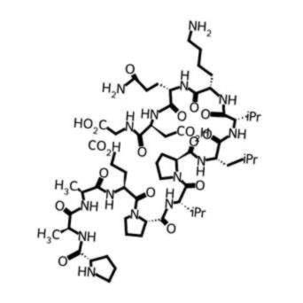 CC(C)C[C@H](NC(=O)[C@@H]1CCCN1C(=O)[C@@H](NC(=O)[C@@H]1CCCN1C(=O)[C@H](CCC(=O)O)NC(=O)[C@H](C)NC(=O)[C@H](C)NC(=O)[C@@H]1CCCN1)C(C)C)C(=O)N[C@H](C(=O)N[C@@H](CCCCN)C(=O)N[C@@H](CCC(N)=O)C(=O)N[C@@H](CC(=O)O)C(=O)NCC(=O)O)C(C)C